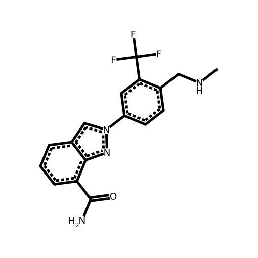 CNCc1ccc(-n2cc3cccc(C(N)=O)c3n2)cc1C(F)(F)F